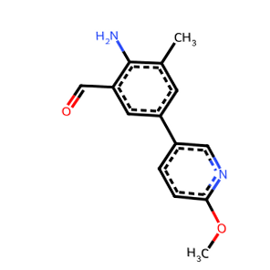 COc1ccc(-c2cc(C)c(N)c(C=O)c2)cn1